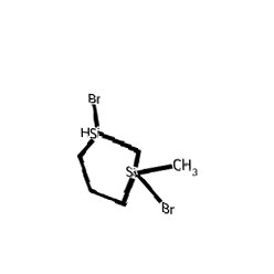 C[Si]1(Br)CCC[SiH](Br)C1